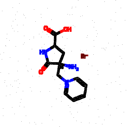 N[C@]1(C[n+]2ccccc2)CC(C(=O)O)NC1=O.[Br-]